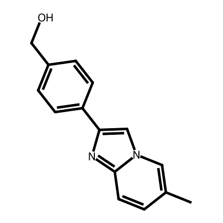 Cc1ccc2nc(-c3ccc(CO)cc3)cn2c1